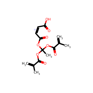 C=C(C)C(=O)OC(C)(OC(=O)/C=C\C(=O)O)OC(=O)C(=C)C